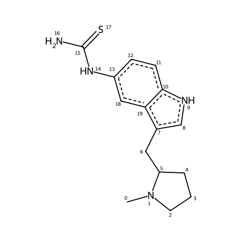 CN1CCCC1Cc1c[nH]c2ccc(NC(N)=S)cc12